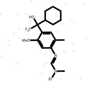 CCN(C)/C=N/c1cc(OC)c(C(O)(C2CCCCC2)C(F)(F)F)cc1C